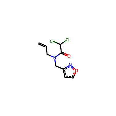 C=CCN(Cc1ccon1)C(=O)C(Cl)Cl